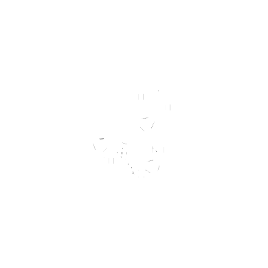 Cc1cccc(C)c1-c1cc2nc(n1)NS(=O)(=O)c1cccc(c1)NCC(c1ccc(CCS(C)(C)C)cc1)O2